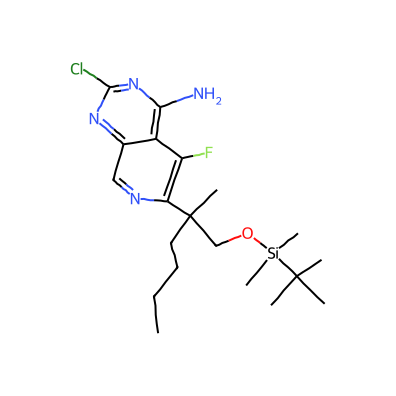 CCCCC(C)(CO[Si](C)(C)C(C)(C)C)c1ncc2nc(Cl)nc(N)c2c1F